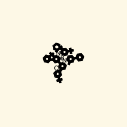 Cc1cc(-c2ccccc2)ccc1N1B2c3cc(C(C)(C)C)cc4c3N(c3c2c(cc2c3C(C)(C)c3ccccc3-2)-c2c1ccc1c2oc2ccc(C(C)(C)C)cc21)C1(C)CCCCC41C